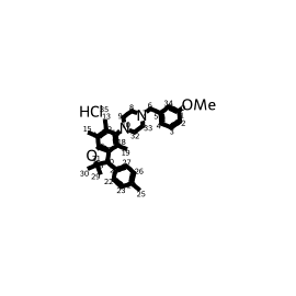 COc1cccc(CN2CCN(c3c(C)c(C)c4c(c3C)C(c3ccc(C)cc3)C(C)(C)O4)CC2)c1.Cl